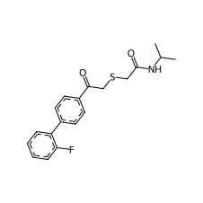 CC(C)NC(=O)CSCC(=O)c1ccc(-c2ccccc2F)cc1